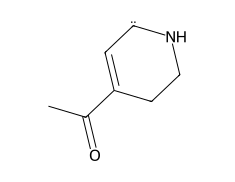 CC(=O)C1=C[C]NCC1